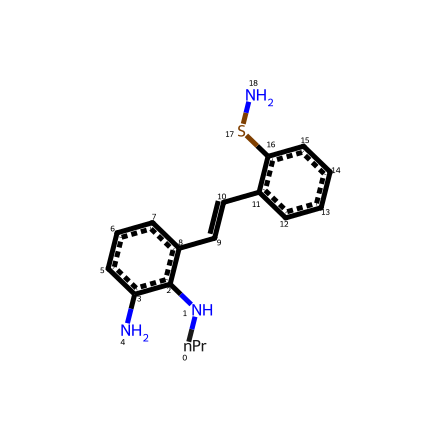 CCCNc1c(N)cccc1/C=C/c1ccccc1SN